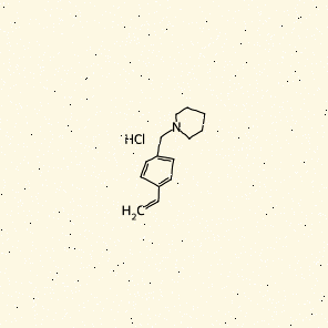 C=Cc1ccc(CN2CCCCC2)cc1.Cl